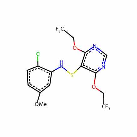 COc1ccc(Cl)c(NSc2c(OCC(F)(F)F)ncnc2OCC(F)(F)F)c1